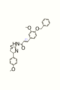 COc1ccc(C2CSC(NC(=O)/C=C/c3ccc(OCc4ccccc4)c(OC)c3)=N2)cc1